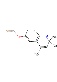 CC1=CC(C)(C)Nc2ccc(OC=S)cc21